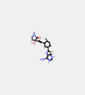 Cc1ccc(-c2nc3c(N)ncnc3s2)cc1C#C[C@]1(O)CCN(C)C1=O